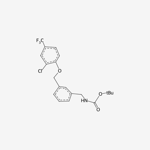 CC(C)(C)OC(=O)NCc1cccc(COc2ccc(C(F)(F)F)cc2Cl)c1